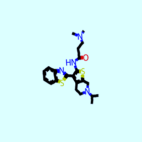 CC(C)N1CCc2c(sc(NC(=O)CCN(C)C)c2-c2nc3ccccc3s2)C1